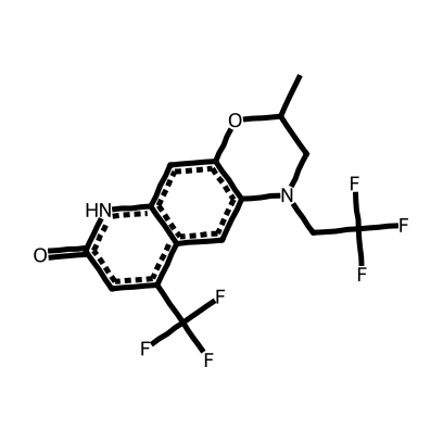 CC1CN(CC(F)(F)F)c2cc3c(C(F)(F)F)cc(=O)[nH]c3cc2O1